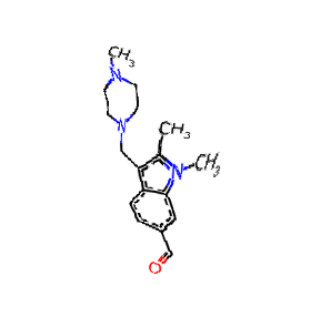 Cc1c(CN2CCN(C)CC2)c2ccc(C=O)cc2n1C